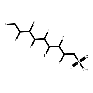 O=S(=O)(O)CC(F)C(F)C(F)C(F)C(F)C(F)C(F)CF